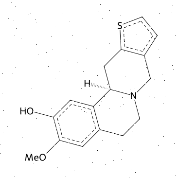 COc1cc2c(cc1O)[C@H]1Cc3sccc3CN1CC2